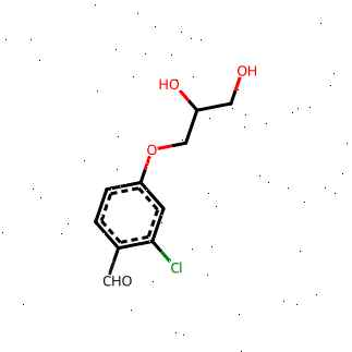 O=Cc1ccc(OCC(O)CO)cc1Cl